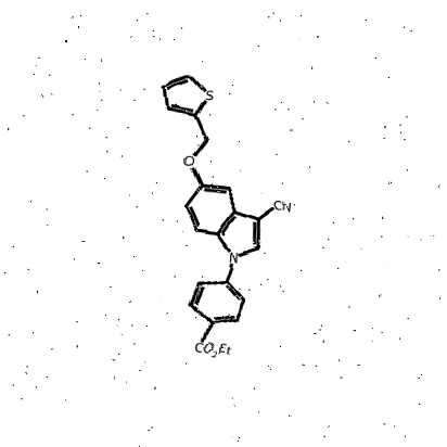 CCOC(=O)c1ccc(-n2cc(C#N)c3cc(OCc4cccs4)ccc32)cc1